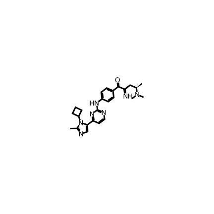 Cc1ncc(-c2ccnc(Nc3ccc(C(=O)C(=N)C[C@@H](C)N(C)C)cc3)n2)n1C1CCC1